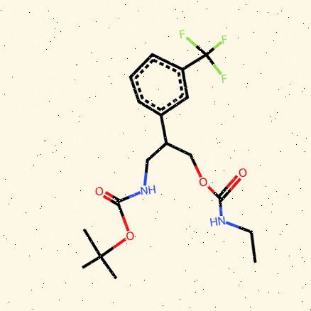 CCNC(=O)OCC(CNC(=O)OC(C)(C)C)c1cccc(C(F)(F)F)c1